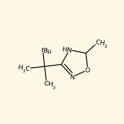 CC1NC(C(C)(C)C(C)(C)C)=NO1